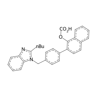 CCCCc1nc2ccccc2n1Cc1ccc(-c2ccc3ccccc3c2OC(=O)O)cc1